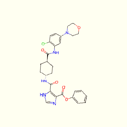 O=C(Oc1ccccc1)c1nc[nH]c1C(=O)N[C@H]1CC[C@H](C(=O)Nc2cc(N3CCOCC3)ccc2Cl)CC1